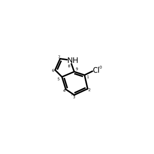 Clc1c[c]cc2cc[nH]c12